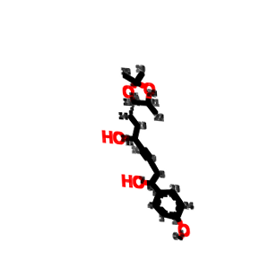 COc1ccc(C(O)CC#CC(O)CC[C@@H]2OC(C)(C)OC2C)cc1